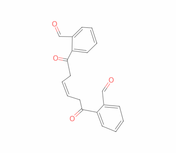 O=Cc1ccccc1C(=O)C/C=C\CC(=O)c1ccccc1C=O